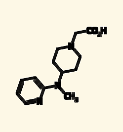 CN(c1ccccn1)C1CCN(CC(=O)O)CC1